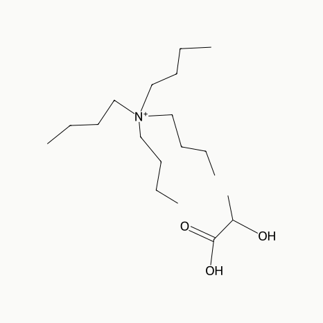 CC(O)C(=O)O.CCCC[N+](CCCC)(CCCC)CCCC